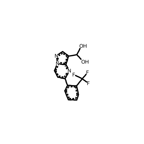 OC(O)c1cnn2ccc(-c3ccccc3C(F)(F)F)nc12